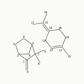 C=C1C2CCC(C2)C1(C)C.CC1=CCC(=C(C)C)CC1